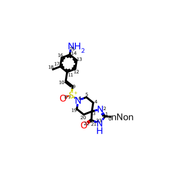 CCCCCCCCCC1=NC2(CCN([S+]([O-])/C=C/c3ccc(N)cc3C)CC2)C(=O)N1